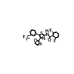 O=C(Nc1nc(-c2ncco2)c(-c2cccc(C(F)(F)F)c2)s1)c1c(F)cccc1F